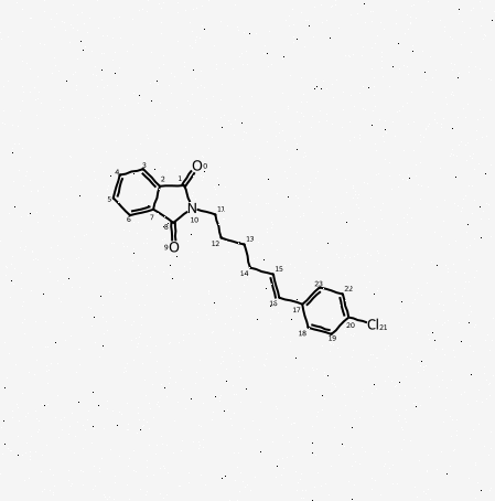 O=C1c2ccccc2C(=O)N1CCCCC=Cc1ccc(Cl)cc1